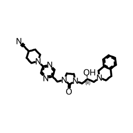 N#CC1CCN(c2cnc(CN3CCN(C[C@H](O)CN4CCc5ccccc5C4)C3=O)cn2)CC1